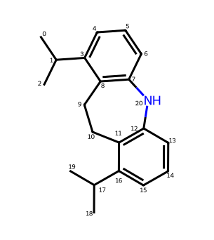 CC(C)c1cccc2c1CCc1c(cccc1C(C)C)N2